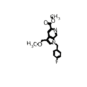 COCc1cn(Cc2ccc(F)cc2)c2cnc(C(=O)OC)cc12